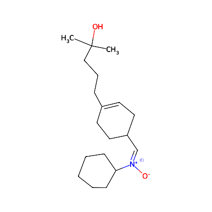 CC(C)(O)CCCC1=CCC(/C=[N+](/[O-])C2CCCCC2)CC1